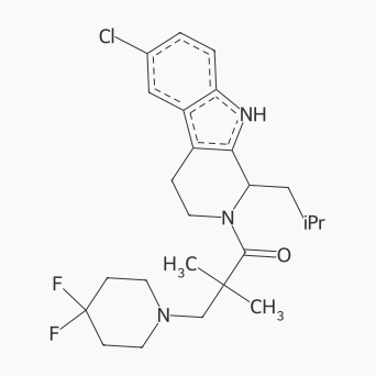 CC(C)CC1c2[nH]c3ccc(Cl)cc3c2CCN1C(=O)C(C)(C)CN1CCC(F)(F)CC1